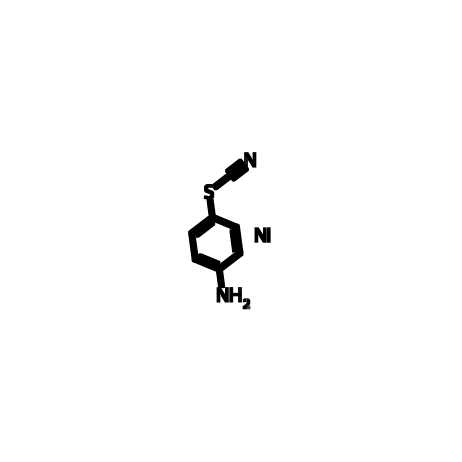 N#CSc1ccc(N)cc1.[Ni]